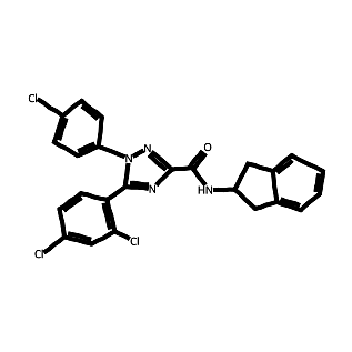 O=C(NC1Cc2ccccc2C1)c1nc(-c2ccc(Cl)cc2Cl)n(-c2ccc(Cl)cc2)n1